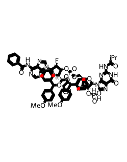 COc1ccc(C(OC(OC(c2ccccc2)c2ccc(OC)cc2)[C@@H]2O[C@@H](n3cnc4c(NC(=O)c5ccccc5)ncnc43)[C@@H](F)[C@@H]2OP(=O)(OCCC#N)OC[C@H]2O[C@@H](n3cnc4c(=O)[nH]c(NC(=O)C(C)C)nc43)[C@H](O[PH](=O)O)[C@@H]2F)c2ccccc2)cc1